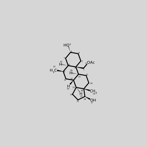 CC(=O)OC[C@]12CC[C@@H](O)C[C@@H]1[C@H](C)C[C@H]1[C@@H]3CC[C@H](O)[C@@]3(C)CC[C@@H]12